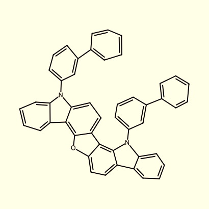 c1ccc(-c2cccc(-n3c4ccccc4c4c5oc6ccc7c8ccccc8n(-c8cccc(-c9ccccc9)c8)c7c6c5ccc43)c2)cc1